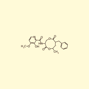 COc1ccnc(C(=O)NC2COC(=O)C(Cc3ccccc3)[CH]C(C)OC2=O)c1O